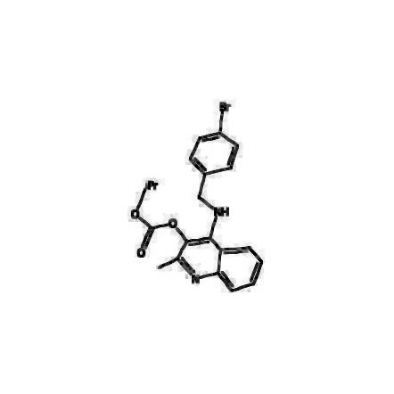 Cc1nc2ccccc2c(NCc2ccc(Br)cc2)c1OC(=O)OC(C)C